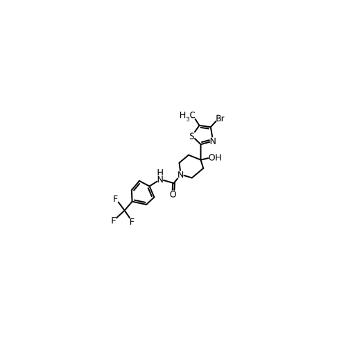 Cc1sc(C2(O)CCN(C(=O)Nc3ccc(C(F)(F)F)cc3)CC2)nc1Br